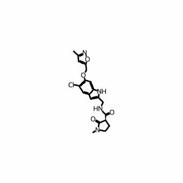 Cc1cc(COc2cc3[nH]c(CNC(=O)[C@H]4CCN(C)C4=O)cc3cc2Cl)on1